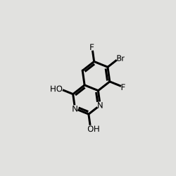 Oc1nc(O)c2cc(F)c(Br)c(F)c2n1